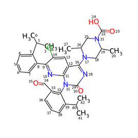 CC(C)c1ccccc1-c1nc2c(cc1Cl)c(N1CC(C)N(C(=O)O)CC1C)nc(=O)n2-c1c(C=O)cccc1C(C)C